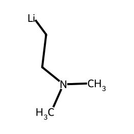 [Li][CH2]CN(C)C